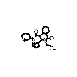 COCCN1C(=O)c2ccccc2C(C(=O)Nc2cccnc2)C1c1cccs1